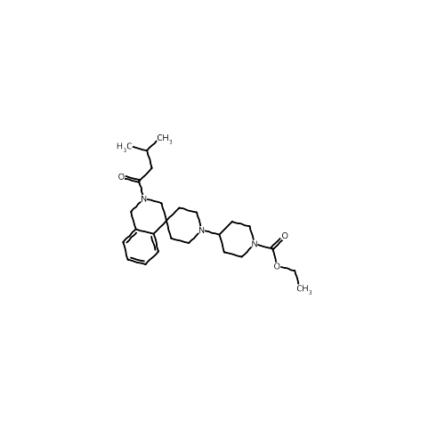 CCOC(=O)N1CCC(N2CCC3(CC2)CN(C(=O)CC(C)C)Cc2ccccc23)CC1